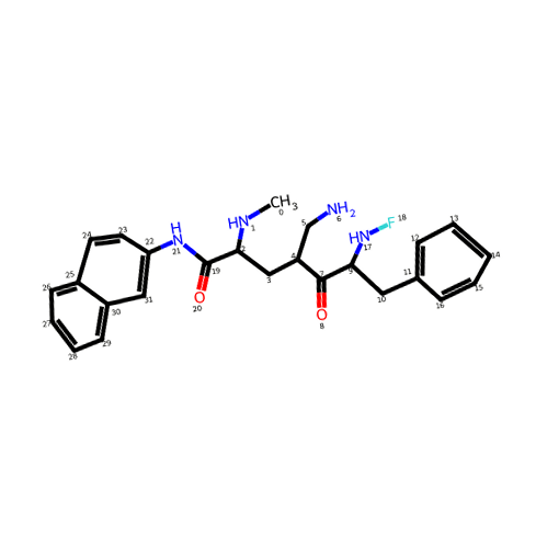 CNC(CC(CN)C(=O)C(Cc1ccccc1)NF)C(=O)Nc1ccc2ccccc2c1